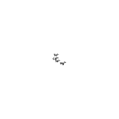 [Cd+2].[Hg+2].[Te-2].[Te-2]